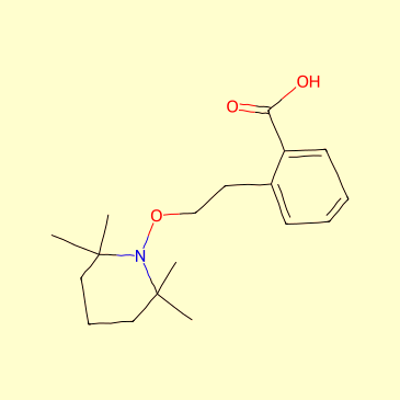 CC1(C)CCCC(C)(C)N1OCCc1ccccc1C(=O)O